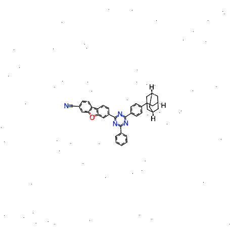 N#Cc1ccc2c(c1)oc1cc(-c3nc(-c4ccccc4)nc(-c4ccc(C56C[C@H]7C[C@@H](C5)C[C@@H](C6)C7)cc4)n3)ccc12